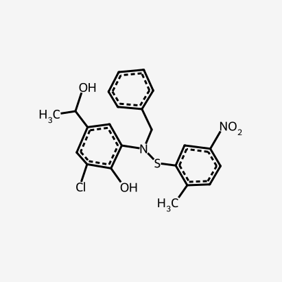 Cc1ccc([N+](=O)[O-])cc1SN(Cc1ccccc1)c1cc(C(C)O)cc(Cl)c1O